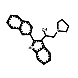 OC(CN1CCCC1)c1c(-c2ccc3ccccc3c2)[nH]c2ccccc12